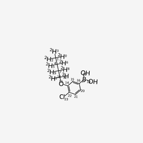 [2H]C([2H])([2H])C([2H])([2H])C([2H])([2H])C([2H])([2H])Oc1cc(B(O)O)ccc1Cl